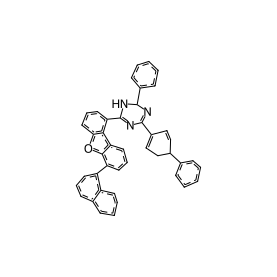 C1=CC(c2ccccc2)CC=C1C1=NC(c2ccccc2)NC(c2cccc3oc4c(-c5cccc6ccccc56)cccc4c23)=N1